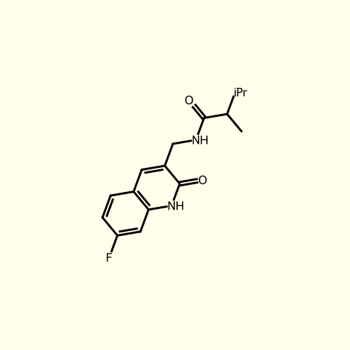 CC(C)C(C)C(=O)NCc1cc2ccc(F)cc2[nH]c1=O